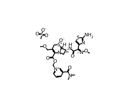 COCC1=C(C(=O)OC[n+]2cccc(C(=O)N(C)C)c2)N2C[C@@H](NC(=O)/C(=N/OC)c3csc(N)n3)[C@H]2[S+]([O-])C1.CS(=O)(=O)[O-]